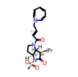 CC(C)[C@H]1C(=O)N(S(C)(=O)=O)[C@H]2CCN(C(=O)/C=C/CN3C=CC=CC=C3)[C@H]12